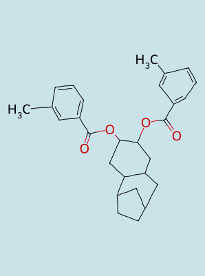 Cc1cccc(C(=O)OC2CC3CC4CCC(C4)C3CC2OC(=O)c2cccc(C)c2)c1